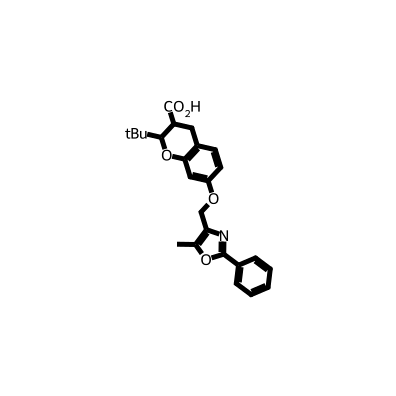 Cc1oc(-c2ccccc2)nc1COc1ccc2c(c1)OC(C(C)(C)C)C(C(=O)O)C2